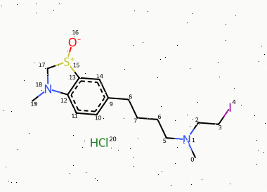 CN(CCI)CCCCc1ccc2c(c1)[S+]([O-])CN2C.Cl